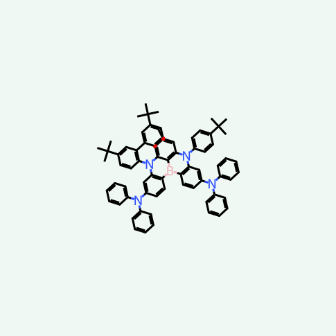 Cc1cc2c3c(c1)N(c1ccc(C(C)(C)C)cc1-c1cccc(C(C)(C)C)c1)c1cc(N(c4ccccc4)c4ccccc4)ccc1B3c1ccc(N(c3ccccc3)c3ccccc3)cc1N2c1ccc(C(C)(C)C)cc1